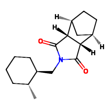 C[C@@H]1CCCC[C@H]1CN1C(=O)[C@@H]2[C@H]3CC[C@H](C3)[C@@H]2C1=O